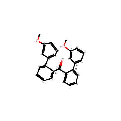 COc1cccc(-c2ccccc2C(=O)c2ccccc2-c2cccc(OC)c2)c1